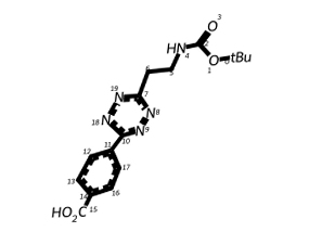 CC(C)(C)OC(=O)NCCc1nnc(-c2ccc(C(=O)O)cc2)nn1